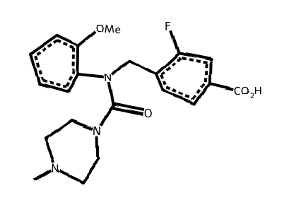 COc1ccccc1N(Cc1ccc(C(=O)O)cc1F)C(=O)N1CCN(C)CC1